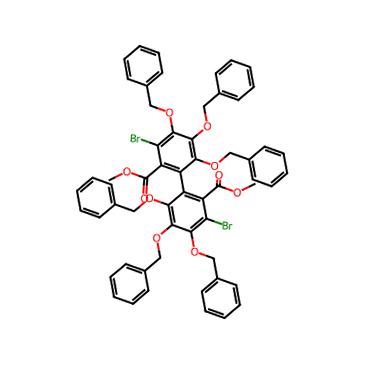 COC(=O)c1c(Br)c(OCc2ccccc2)c(OCc2ccccc2)c(OCc2ccccc2)c1-c1c(OCc2ccccc2)c(OCc2ccccc2)c(OCc2ccccc2)c(Br)c1C(=O)OC